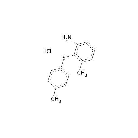 Cc1ccc(Sc2c(C)cccc2N)cc1.Cl